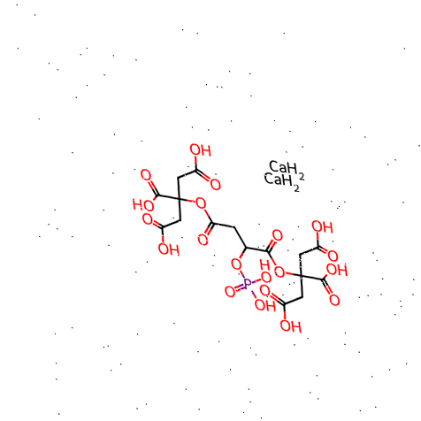 O=C(O)CC(CC(=O)O)(OC(=O)CC(OP(=O)(O)O)C(=O)OC(CC(=O)O)(CC(=O)O)C(=O)O)C(=O)O.[CaH2].[CaH2]